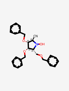 N#C[C@@H]1[C@@H](OCc2ccccc2)[C@@H](OCc2ccccc2)[C@@H](COCc2ccccc2)N1O